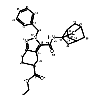 CCOC(=O)C1CCc2nn(Cc3ccccc3)c(C(=O)NC34CC5CC(CC3C5)C4)c2C1